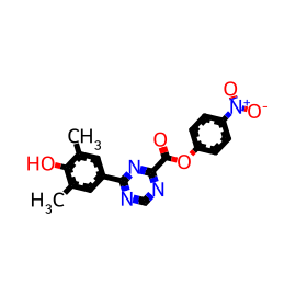 Cc1cc(-c2ncnc(C(=O)Oc3ccc([N+](=O)[O-])cc3)n2)cc(C)c1O